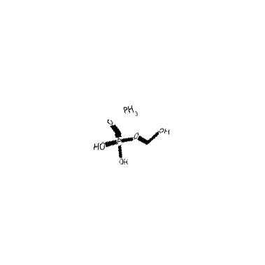 O=P(O)(O)OCO.P